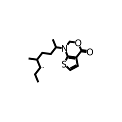 CC[CH]C(C)CCC(C)N1COC(=O)c2ccsc21